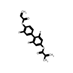 C=CC(=O)Sc1ccc(-c2c(F)cc(SC(=O)C(=C)C)cc2F)cc1F